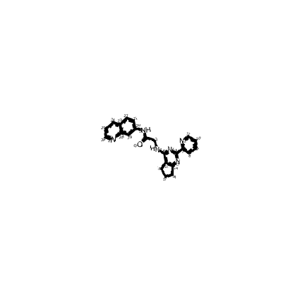 O=C(CNc1nc(-c2ccccn2)nc2c1CCC2)Nc1ccc2cccnc2c1